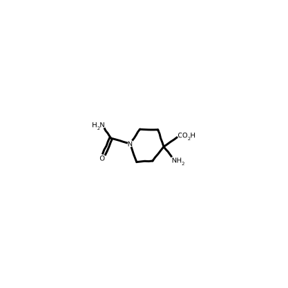 NC(=O)N1CCC(N)(C(=O)O)CC1